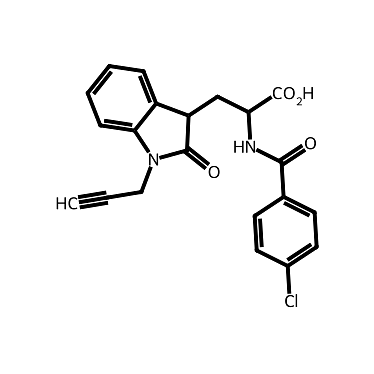 C#CCN1C(=O)C(CC(NC(=O)c2ccc(Cl)cc2)C(=O)O)c2ccccc21